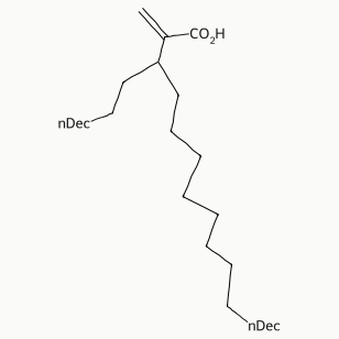 C=C(C(=O)O)C(CCCCCCCCCCCC)CCCCCCCCCCCCCCCCCC